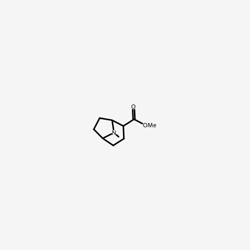 COC(=O)C1CCC2CCC1N2C